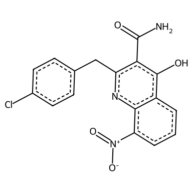 NC(=O)c1c(Cc2ccc(Cl)cc2)nc2c([N+](=O)[O-])cccc2c1O